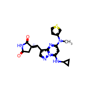 CN(c1ccsc1)c1cc(NC2CC2)n2ncc(/C=C3\CC(=O)NC3=O)c2n1